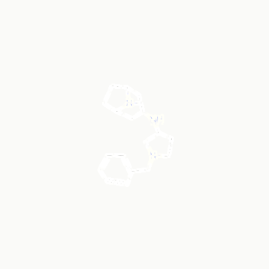 CN1C2CCC1CC(NC1CCN(Cc3ccccc3)C1)C2